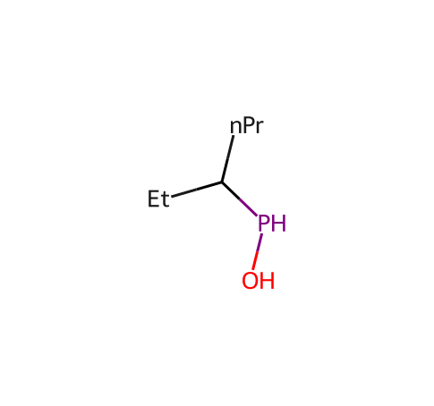 CCCC(CC)PO